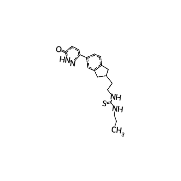 CCCNC(=S)NCCC1Cc2ccc(-c3ccc(=O)[nH]n3)cc2C1